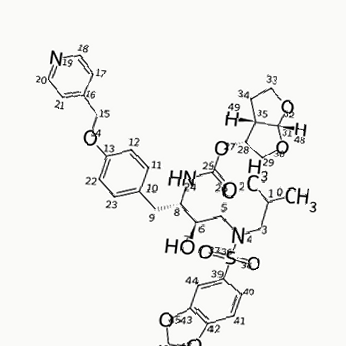 CC(C)CN(C[C@@H](O)[C@H](Cc1ccc(OCc2ccncc2)cc1)NC(=O)O[C@H]1CO[C@H]2OCC[C@H]21)S(=O)(=O)c1ccc2c(c1)OCO2